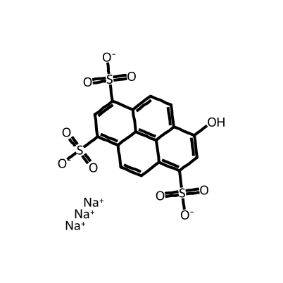 O=S(=O)([O-])c1cc(O)c2ccc3c(S(=O)(=O)[O-])cc(S(=O)(=O)[O-])c4ccc1c2c34.[Na+].[Na+].[Na+]